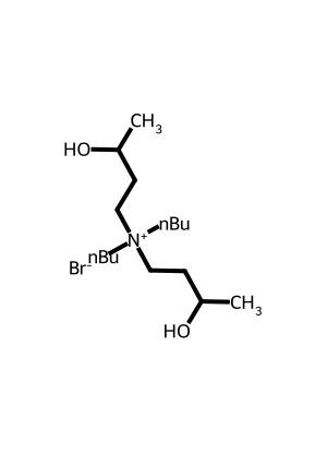 CCCC[N+](CCCC)(CCC(C)O)CCC(C)O.[Br-]